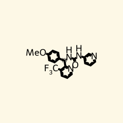 COc1ccc([C@H](NC(=O)Nc2cccnc2)c2ncccc2C(F)(F)F)cc1